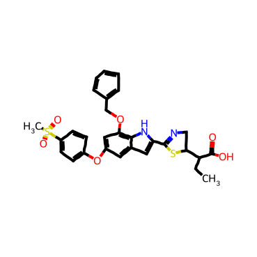 CCC(C(=O)O)C1CN=C(c2cc3cc(Oc4ccc(S(C)(=O)=O)cc4)cc(OCc4ccccc4)c3[nH]2)S1